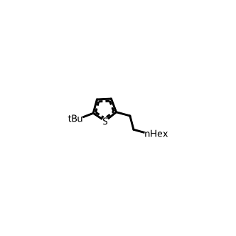 CCCCCCCCc1ccc(C(C)(C)C)s1